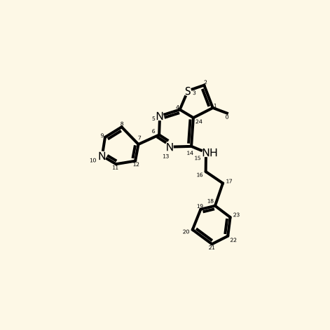 Cc1csc2nc(-c3ccncc3)nc(NCCc3ccccc3)c12